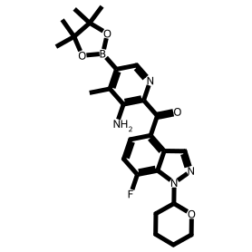 Cc1c(B2OC(C)(C)C(C)(C)O2)cnc(C(=O)c2ccc(F)c3c2cnn3C2CCCCO2)c1N